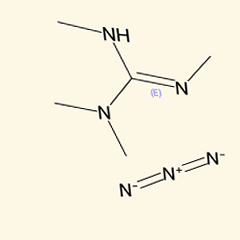 C/N=C(\NC)N(C)C.[N-]=[N+]=[N-]